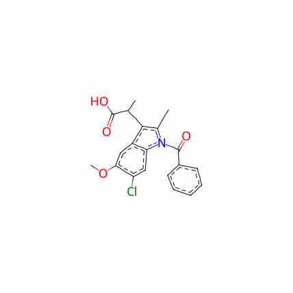 COc1cc2c(C(C)C(=O)O)c(C)n(C(=O)c3ccccc3)c2cc1Cl